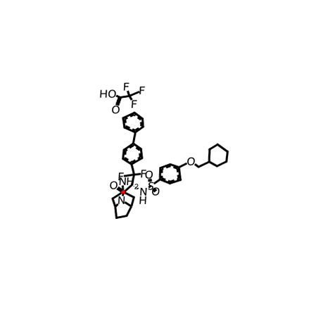 NC1CC2CCC(C1)N2C(=O)[C@@H](NS(=O)(=O)c1ccc(OCC2CCCCC2)cc1)C(F)(F)c1ccc(-c2ccccc2)cc1.O=C(O)C(F)(F)F